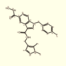 Cc1c(CNC(=O)c2cn(Cc3ccc(F)cc3)c3cnc(C(=O)NO)cc23)cnn1C